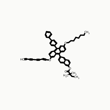 C#CC#CC#CC#COc1ccc2c(-c3ccc(-c4ccccc4)cc3)c3cc(OCCCCCCCC)ccc3c(-c3ccc4cc(OC(=O)C(C)(C)CC)ccc4c3)c2c1